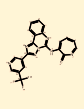 O=c1nccccc1Nc1nc2ccccc2c2nc(-c3cncc(C(F)(F)F)c3)nn12